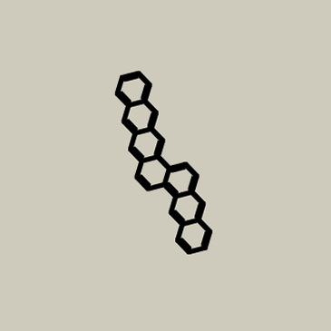 c1ccc2cc3cc4c(ccc5c6cc7ccccc7cc6ccc45)cc3cc2c1